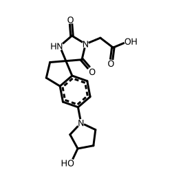 O=C(O)CN1C(=O)NC2(CCc3cc(N4CCC(O)C4)ccc32)C1=O